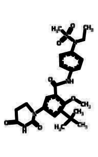 CCN(c1ccc(NC(=O)c2cc(N3CCC(=O)NC3=O)cc(C(C)(C)C)c2OC)cc1)S(C)(=O)=O